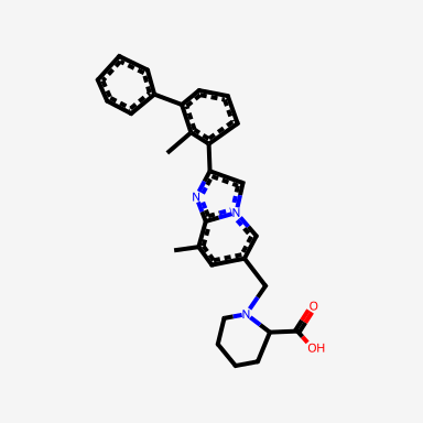 Cc1c(-c2ccccc2)cccc1-c1cn2cc(CN3CCCCC3C(=O)O)cc(C)c2n1